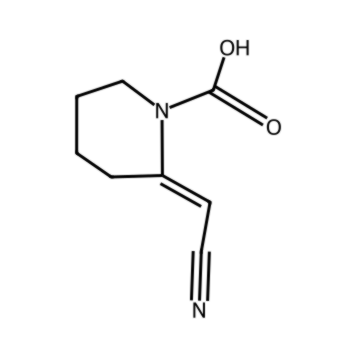 N#CC=C1CCCCN1C(=O)O